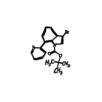 CC(C)(C)OC(=O)n1cc(Br)c2cccc(-c3ccccn3)c21